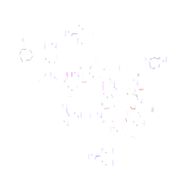 CC[C@H](C)[C@H](NC(=O)[C@H](CCCNC(=N)N)NC(=O)[C@H](CCCNC(=N)N)NC(=O)[C@@H](NC(=O)[C@@H](NC(=O)[C@H](CCCNC(=N)N)NC(=O)[C@H](C)NC(=O)CNC(=O)[C@H](Cc1ccc(O)cc1)NC(=O)[C@@H]1CCCN1)C(C)C)[C@@H](C)CC)C(=O)N[C@@H](CC(C)C)C(=O)N[C@@H](CCC(=O)O)C(=O)N[C@@H](Cc1c[nH]cn1)C(=O)O